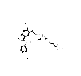 CCOc1cc2ncnc(Nc3ccc(F)c(Cl)c3)c2cc1CCCn1nc(SCCCP(=O)(O)O)sc1=S